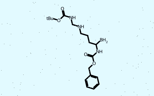 BC(CCCNCNC(=O)OC(C)(C)C)NC(=O)OCc1ccccc1